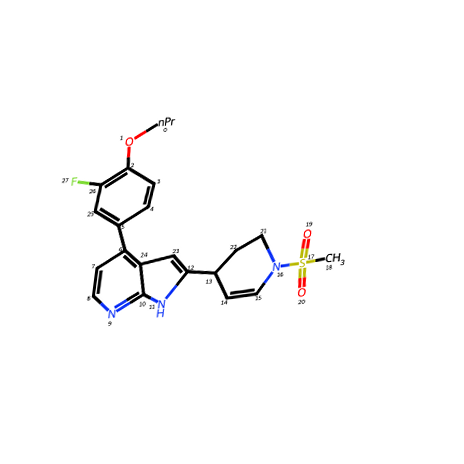 CCCOc1ccc(-c2ccnc3[nH]c(C4C=CN(S(C)(=O)=O)CC4)cc23)cc1F